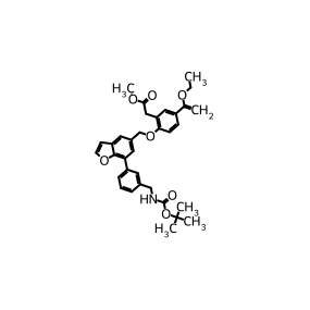 C=C(OCC)c1ccc(OCc2cc(-c3cccc(CNC(=O)OC(C)(C)C)c3)c3occc3c2)c(CC(=O)OC)c1